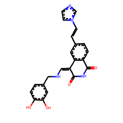 O=C1NC(=O)c2ccc(C=Cn3ccnc3)cc2C1=CNCc1ccc(O)c(O)c1